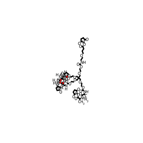 CC(NC(=O)OCCOCC(COCCOC(=O)NCCOCCCC(=O)ON1C(=O)CCC1=O)(COCCOC(=O)NC(C)C(=O)NC(C)C(=O)ON1C(=O)CCC1=O)COCCOC(=O)NC(C)C(=O)NC(C)C(=O)ON1C(=O)CCC1=O)C(=O)NC(C)C(=O)ON1C(=O)CCC1=O